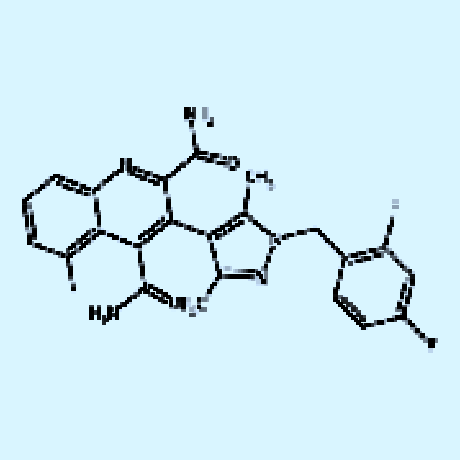 Cc1c(-c2c(C(N)=O)nc3cccc(F)c3c2C(N)=O)c(C(F)(F)F)nn1Cc1ccc(F)cc1F